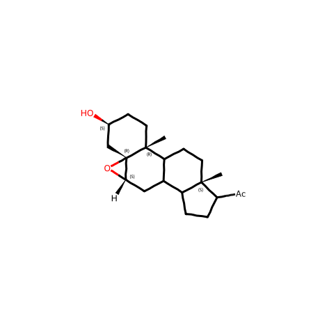 CC(=O)C1CCC2C3C[C@@H]4O[C@@]45C[C@@H](O)CC[C@]5(C)C3CC[C@]12C